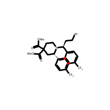 COC(=O)C1(C(=O)OC)CCN([C@@H](CCC(C)C)c2ccc(C(F)(F)F)cc2)[C@H](c2ccc(C(F)(F)F)cc2)C1